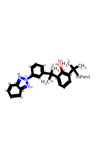 CCCCCC(C)(C)c1cccc(C(C)(C)c2cccc(-n3nc4ccccc4n3)c2)c1O